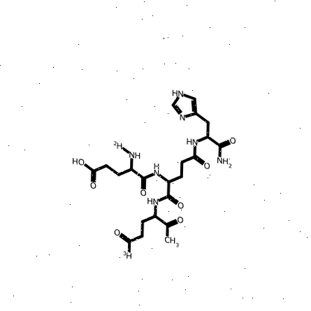 [2H]NC(CCC(=O)O)C(=O)NC(CCC(=O)NC(Cc1c[nH]cn1)C(N)=O)C(=O)NC(CCC([3H])=O)C(C)=O